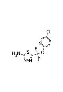 Nc1nnc(C(F)(F)Oc2ccc(Cl)cn2)s1